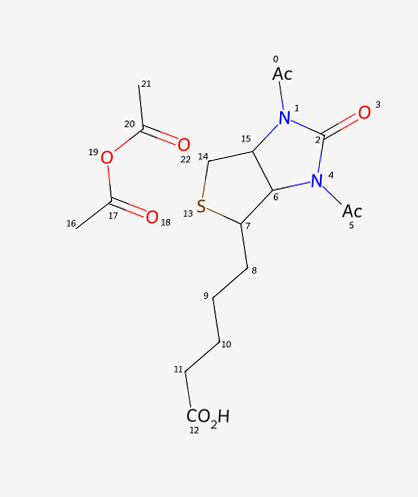 CC(=O)N1C(=O)N(C(C)=O)C2C(CCCCC(=O)O)SCC21.CC(=O)OC(C)=O